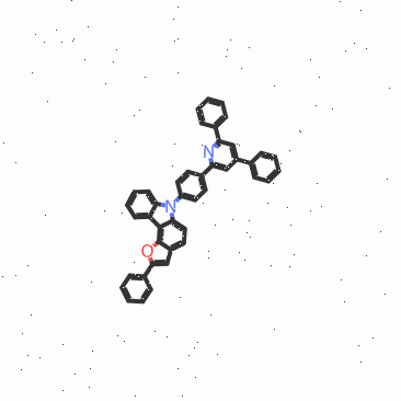 c1ccc(-c2cc(-c3ccccc3)nc(-c3ccc(-n4c5ccccc5c5c6oc(-c7ccccc7)cc6ccc54)cc3)c2)cc1